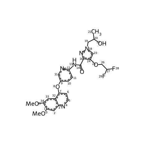 COc1cc2nccc(Oc3ccc(NC(=O)c4nn(CC(C)O)cc4OCC(F)F)nc3)c2cc1OC